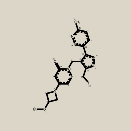 CCOC1CN(c2cnn(Cc3c(-c4ccc(C)nn4)noc3CF)c(=O)c2)C1